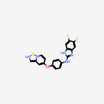 Fc1cc2nc(Nc3ccc(OC4=CC5=CNSN5C=C4)cc3)[nH]c2cc1F